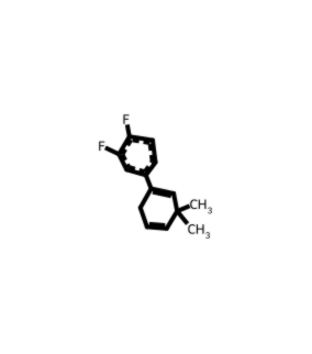 CC1(C)C=CCC(c2ccc(F)c(F)c2)=C1